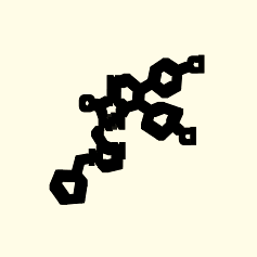 O=c1n(Cc2nccn2Cc2ccccc2)nc2c(-c3ccc(Cl)cc3)c(-c3ccc(Cl)cc3)cnn12